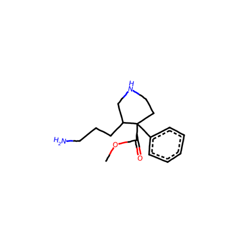 COC(=O)C1(c2ccccc2)CCNCC1CCCN